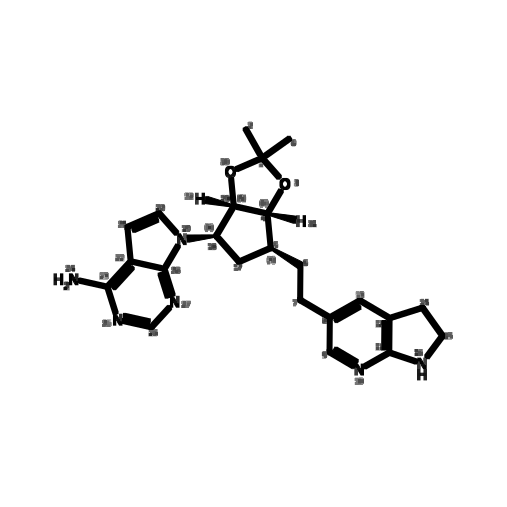 CC1(C)O[C@@H]2[C@@H](CCc3cnc4c(c3)CCN4)C[C@@H](n3ccc4c(N)ncnc43)[C@@H]2O1